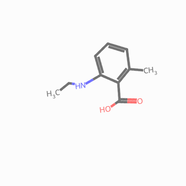 CCNc1cccc(C)c1C(=O)O